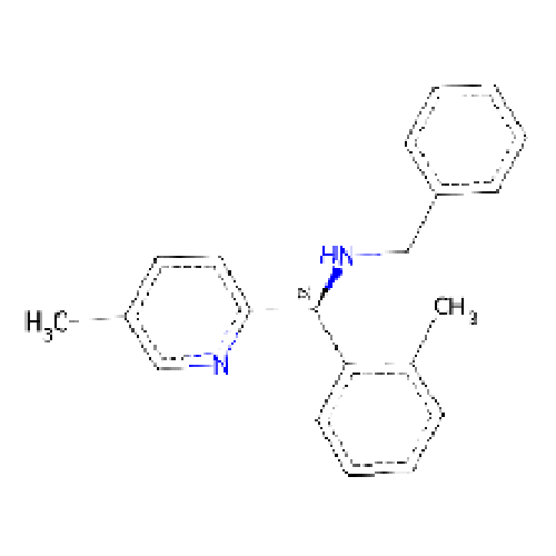 Cc1ccc([C@@H](NCc2ccccc2)c2ccccc2C)nc1